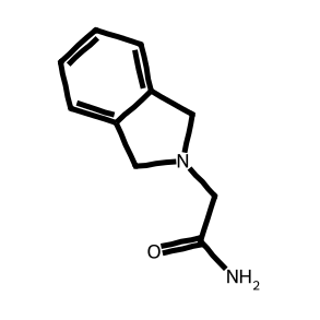 NC(=O)CN1Cc2ccccc2C1